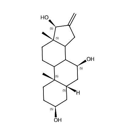 C=C1CC2C3C(CC[C@]2(C)[C@H]1O)[C@@]1(C)CC[C@H](O)C[C@H]1C[C@@H]3O